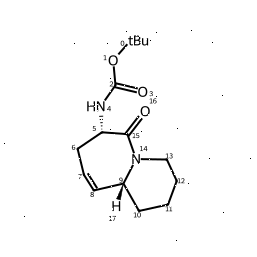 CC(C)(C)OC(=O)N[C@H]1CC=C[C@H]2CCCCN2C1=O